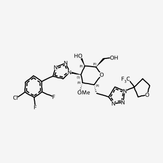 CO[C@@H]1[C@@H](n2cc(-c3ccc(Cl)c(F)c3F)nn2)[C@@H](O)[C@@H](CO)O[C@@H]1Cc1cn(C2(C(F)(F)F)CCOC2)nn1